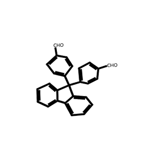 O=Cc1ccc(C2(c3ccc(C=O)cc3)c3ccccc3-c3ccccc32)cc1